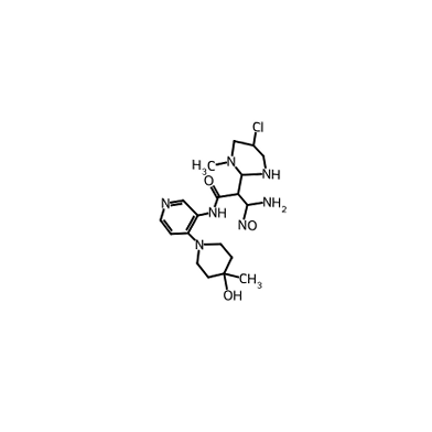 CN1CC(Cl)CNC1C(C(=O)Nc1cnccc1N1CCC(C)(O)CC1)C(N)N=O